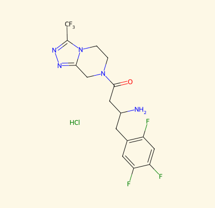 Cl.NC(CC(=O)N1CCn2c(nnc2C(F)(F)F)C1)Cc1cc(F)c(F)cc1F